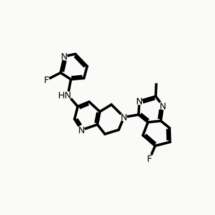 Cc1nc(N2CCc3ncc(Nc4cccnc4F)cc3C2)c2cc(F)ccc2n1